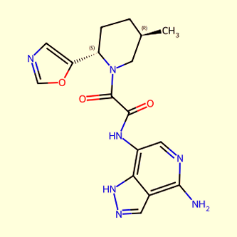 C[C@@H]1CC[C@@H](c2cnco2)N(C(=O)C(=O)Nc2cnc(N)c3cn[nH]c23)C1